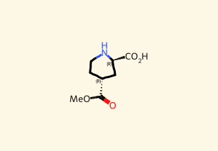 COC(=O)[C@@H]1CCN[C@@H](C(=O)O)C1